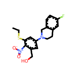 CCSc1cc(N2CCc3cc(F)ccc3C2)cc(CO)c1[N+](=O)[O-]